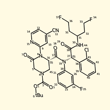 CC(C)(C)OC(=O)N1CC(=O)N(c2cc(C#N)ccn2)[C@H](C(=O)N(c2cccc(F)c2)[C@H](C(=O)NC(CCF)CCF)c2ccccc2Cl)C1